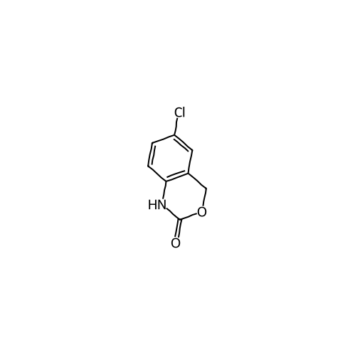 O=C1Nc2ccc(Cl)cc2CO1